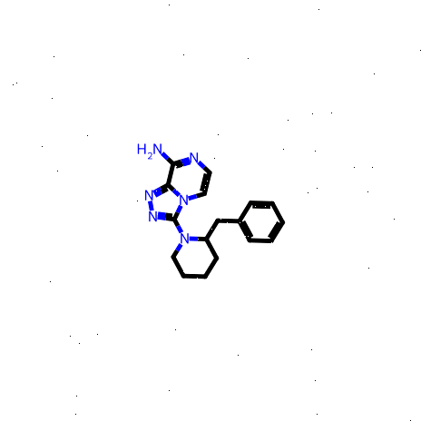 Nc1nccn2c(N3CCCCC3Cc3ccccc3)nnc12